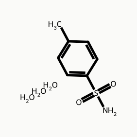 Cc1ccc(S(N)(=O)=O)cc1.O.O.O